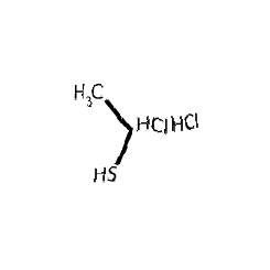 CCS.Cl.Cl